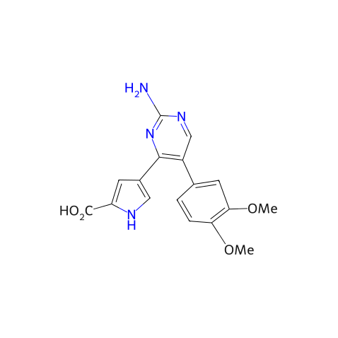 COc1ccc(-c2cnc(N)nc2-c2c[nH]c(C(=O)O)c2)cc1OC